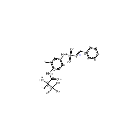 Cc1cc(NS(=O)(=O)/C=C/c2ccccc2)ccc1NC(=O)[C@@](C)(O)C(F)(F)F